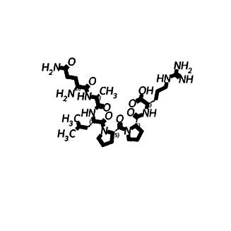 CC(C)C[C@H](NC(=O)[C@H](C)NC(=O)[C@@H](N)CCC(N)=O)C(=O)N1CCC[C@H]1C(=O)N1CCC[C@H]1C(=O)N[C@@H](CCCNC(=N)N)C(=O)O